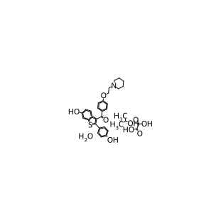 CC(C)O.O.O=C(O)C(=O)O.O=C(c1ccc(OCCN2CCCCC2)cc1)c1c(-c2ccc(O)cc2)sc2cc(O)ccc12